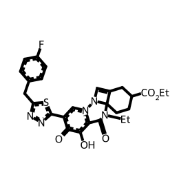 CCOC(=O)C1CCC23C(=CN2n2cc(-c4nnc(Cc5ccc(F)cc5)s4)c(=O)c(O)c2C(=O)N3CC)C1